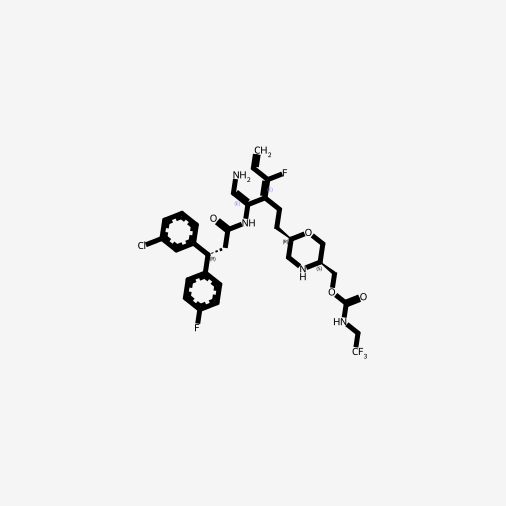 C=C/C(F)=C(CC[C@@H]1CN[C@H](COC(=O)NCC(F)(F)F)CO1)\C(=C/N)NC(=O)C[C@H](c1ccc(F)cc1)c1cccc(Cl)c1